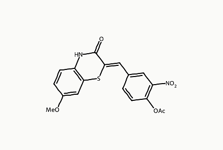 COc1ccc2c(c1)SC(=Cc1ccc(OC(C)=O)c([N+](=O)[O-])c1)C(=O)N2